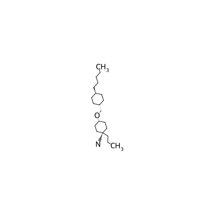 CCCCC[C@H]1CC[C@H](CO[C@H]2CC[C@@](C#N)(CCC)CC2)CC1